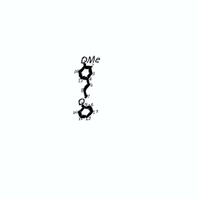 COc1ccc(C=CCOc2ccccc2)cc1